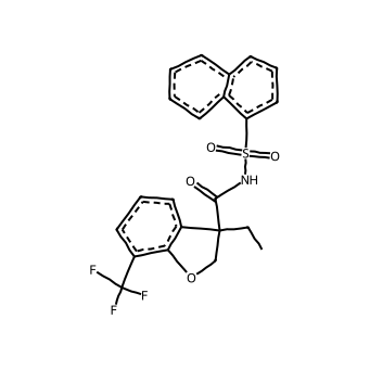 CCC1(C(=O)NS(=O)(=O)c2cccc3ccccc23)COc2c(C(F)(F)F)cccc21